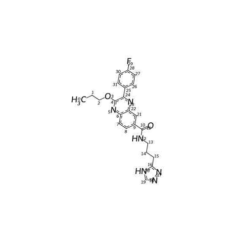 CCCOc1nc2ccc(C(=O)NCCCc3nnc[nH]3)cc2nc1-c1ccc(F)cc1